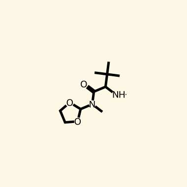 CN(C(=O)C([NH])C(C)(C)C)C1OCCO1